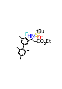 CCOC(=O)C[C@H](N[S@+]([O-])C(C)(C)C)c1cc(-c2c(C)cc(C)cc2C)cc(C)c1F